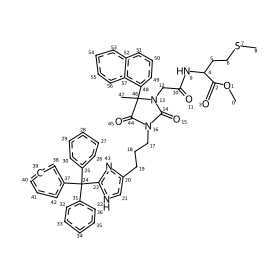 COC(=O)C(CCSC)NC(=O)CN1C(=O)N(CCCc2c[nH]c(C(c3ccccc3)(c3ccccc3)c3ccccc3)n2)C(=O)C1(C)c1cccc2ccccc12